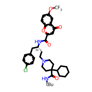 CC(C)(C)NC(=O)C1(C2CCCCC2)CCN(CC[C@H](Cc2ccc(Cl)cc2)NC(=O)c2cc(=O)c3cc(OC(F)(F)F)ccc3o2)CC1